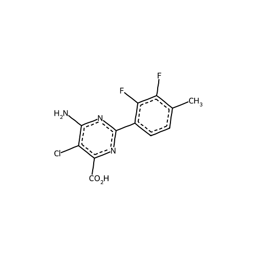 Cc1ccc(-c2nc(N)c(Cl)c(C(=O)O)n2)c(F)c1F